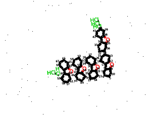 Cl.Cl.Cl.Cl.Cl.c1ccc2c(c1)oc1ccccc12.c1ccc2c(c1)oc1ccccc12.c1ccc2c(c1)oc1ccccc12.c1ccc2c(c1)oc1ccccc12.c1ccc2c(c1)oc1ccccc12